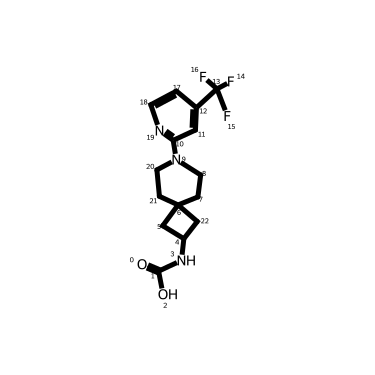 O=C(O)NC1CC2(CCN(c3cc(C(F)(F)F)ccn3)CC2)C1